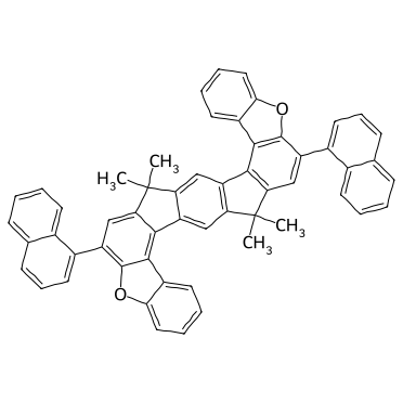 CC1(C)c2cc3c(cc2-c2c1cc(-c1cccc4ccccc14)c1oc4ccccc4c21)C(C)(C)c1cc(-c2cccc4ccccc24)c2oc4ccccc4c2c1-3